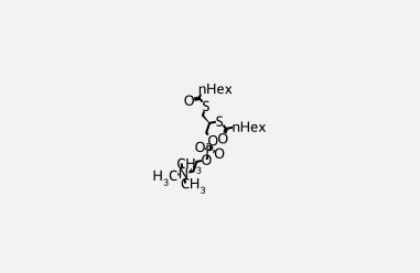 CCCCCCC(=O)SC[C@H](COP(=O)([O-])OCC[N+](C)(C)C)SC(=O)CCCCCC